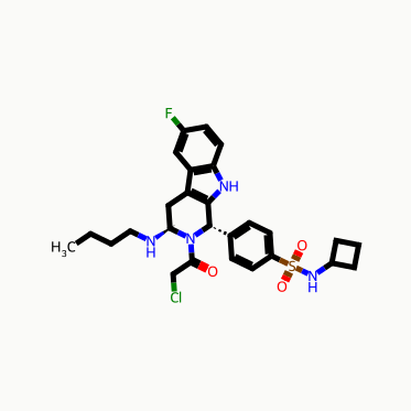 CCCCN[C@H]1Cc2c([nH]c3ccc(F)cc23)[C@H](c2ccc(S(=O)(=O)NC3CCC3)cc2)N1C(=O)CCl